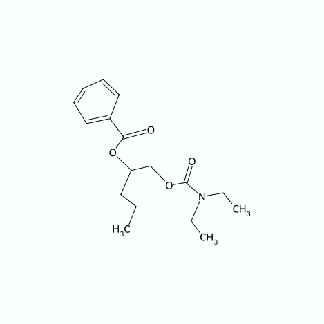 CCCC(COC(=O)N(CC)CC)OC(=O)c1ccccc1